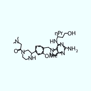 CCC[C@@H](CCO)Nc1nc(N)nc2cnn(Cc3ccc(C4CN(C(=O)CN(C)C)CCN4)cc3OC)c12